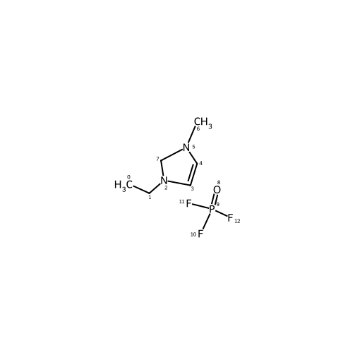 CCN1C=CN(C)C1.O=P(F)(F)F